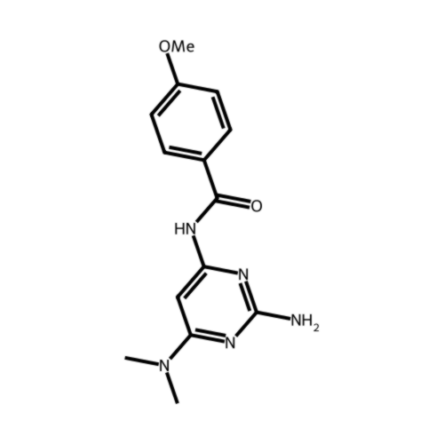 COc1ccc(C(=O)Nc2cc(N(C)C)nc(N)n2)cc1